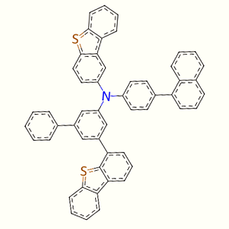 c1ccc(-c2cc(-c3cccc4c3sc3ccccc34)cc(N(c3ccc(-c4cccc5ccccc45)cc3)c3ccc4sc5ccccc5c4c3)c2)cc1